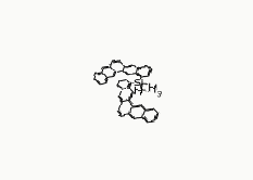 C[SiH](c1cccc2cc3ccc4cc5ccccc5cc4c3cc12)c1cccc2cc3ccc4cc5ccccc5cc4c3cc12